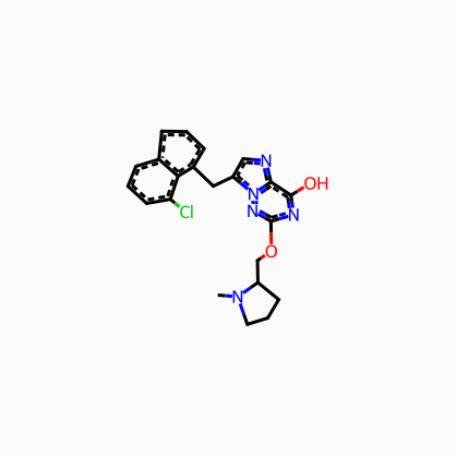 CN1CCCC1COc1nc(O)c2ncc(Cc3cccc4cccc(Cl)c34)n2n1